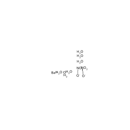 O.O.O.O.O.O.O=[N+]([O-])[O-].O=[N+]([O-])[O-].[Ba+2]